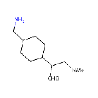 CNCC(C=O)C1CCC(CN)CC1